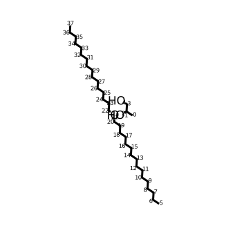 CC(O)CO.CCCCCCCCCCCCCCCCOCCCCCCCCCCCCCCCC